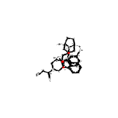 Cc1nc2ccccc2n1C1C[C@H]2CC[C@@H](C1)N2CCC1(c2cccc(F)c2)CCN(C(=O)CC(C)C)CC1